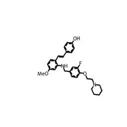 COc1ccc(/C=C/c2ccc(O)cc2)c(NCc2ccc(OCCN3CCCCC3)c(F)c2)c1